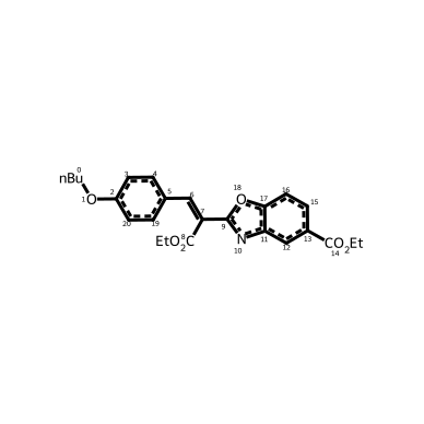 CCCCOc1ccc(/C=C(\C(=O)OCC)c2nc3cc(C(=O)OCC)ccc3o2)cc1